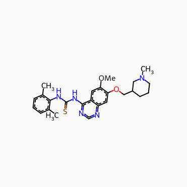 COc1cc2c(NC(=S)Nc3c(C)cccc3C)ncnc2cc1OCC1CCCN(C)C1